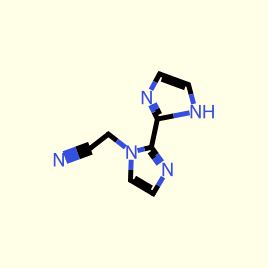 N#CCn1ccnc1-c1ncc[nH]1